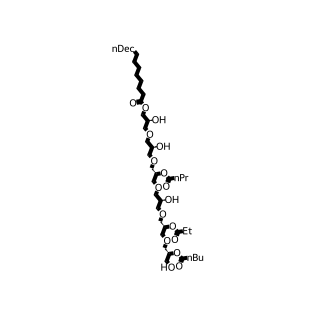 CCCCCCCCCCCCCCCCCC(=O)OC[C@H](O)COC[C@H](O)COC[C@@H](COC[C@H](O)COC[C@@H](COC[C@@H](CO)OC(=O)CCCC)OC(=O)CC)OC(=O)CCC